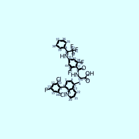 O=C(N[C@@H](Cc1ccc(-c2c(Cl)cc(F)cc2Cl)c2ncccc12)C(=O)O)c1c(F)cc(NC(c2ccccc2)C(F)(F)F)cc1F